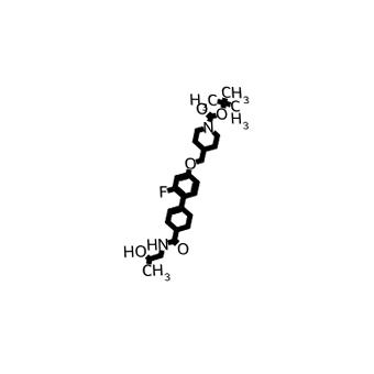 CC(O)CNC(=O)C1CC=C(c2ccc(OCC3CCN(C(=O)OC(C)(C)C)CC3)cc2F)CC1